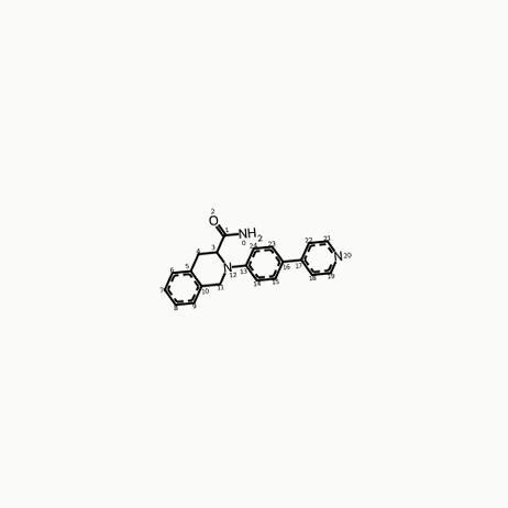 NC(=O)C1Cc2ccccc2CN1c1ccc(-c2ccncc2)cc1